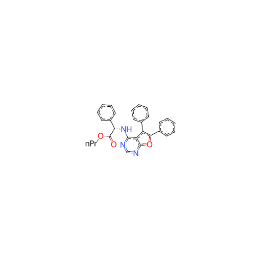 CCCOC(=O)[C@@H](Nc1ncnc2oc(-c3ccccc3)c(-c3ccccc3)c12)c1ccccc1